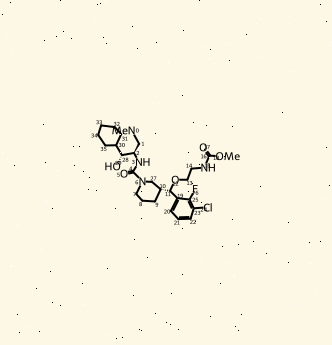 CNC[C@@H](NC(=O)N1CCC[C@@H](C(OCCNC(=O)OC)c2cccc(Cl)c2F)C1)[C@H](O)C1CCCCC1